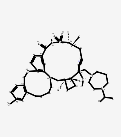 CO[C@@]1(CN2CCCN(C(C)C)CC2)/C=C/C[C@H](C)[C@@H](C)S(=O)(=O)NC(=O)c2ccc3c(c2)N(CCCCc2cc(Cl)ccc2CO3)C[C@@H]2CC[C@H]21